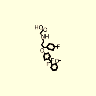 COc1ccccc1C(F)(F)c1ccc(OC(CCCNCC(=O)O)c2ccc(F)cc2)cc1